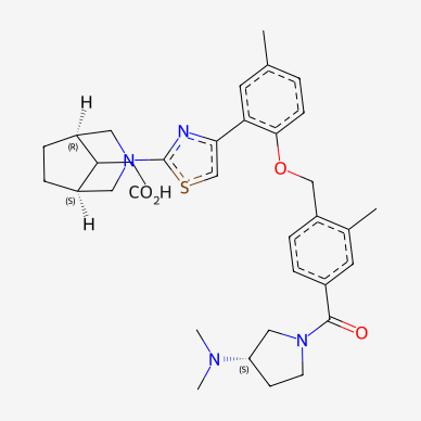 Cc1ccc(OCc2ccc(C(=O)N3CC[C@H](N(C)C)C3)cc2C)c(-c2csc(N3C[C@H]4CC[C@@H](C3)C4CC(=O)O)n2)c1